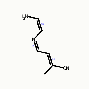 C\C(C#N)=C/C=N\C=C/N